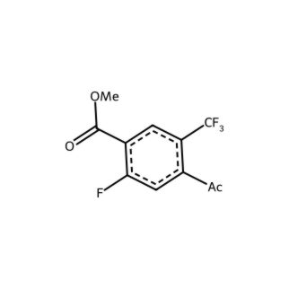 COC(=O)c1cc(C(F)(F)F)c(C(C)=O)cc1F